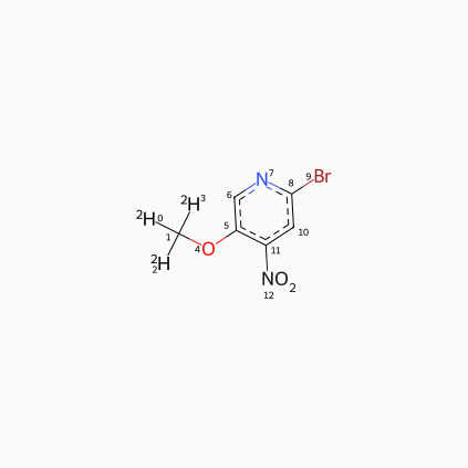 [2H]C([2H])([2H])Oc1cnc(Br)cc1[N+](=O)[O-]